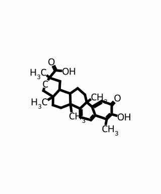 CC1=C(O)C(=O)C=C2C1=CC=C1C2(C)CCC2C3CC(C)(C(=O)O)CCC3(C)CCC12C